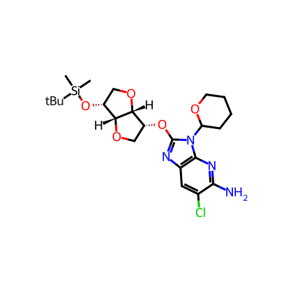 CC(C)(C)[Si](C)(C)O[C@@H]1CO[C@H]2[C@@H]1OC[C@H]2Oc1nc2cc(Cl)c(N)nc2n1C1CCCCO1